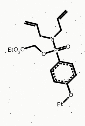 C=CCN(CC=C)P(=O)(OCC(=O)OCC)c1ccc(OCC)cc1